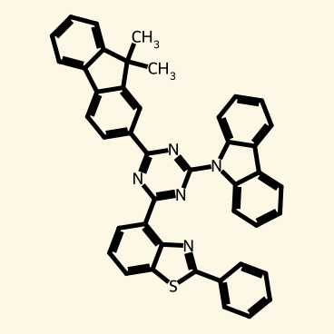 CC1(C)c2ccccc2-c2ccc(-c3nc(-c4cccc5sc(-c6ccccc6)nc45)nc(-n4c5ccccc5c5ccccc54)n3)cc21